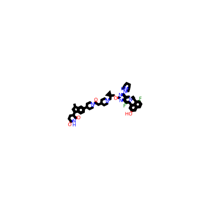 C#Cc1c(F)ccc2cc(O)cc(-c3ncc4c(N5CC6CCC(C5)N6)nc(OCC5(CN6CCC(CC(=O)N7CCC(c8ccc9c(c8)C(C)C=C9C8CCC(=O)NC8=O)CC7)CC6)CC5)nc4c3F)c12